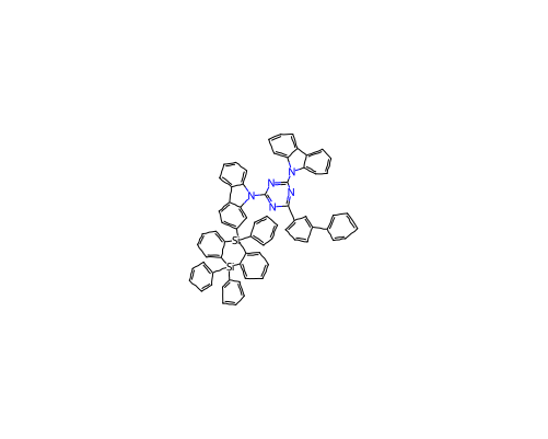 c1ccc(-c2cccc(-c3nc(-n4c5ccccc5c5ccccc54)nc(-n4c5ccccc5c5ccc([Si]6(c7ccccc7)c7ccccc7[Si](c7ccccc7)(c7ccccc7)c7ccccc76)cc54)n3)c2)cc1